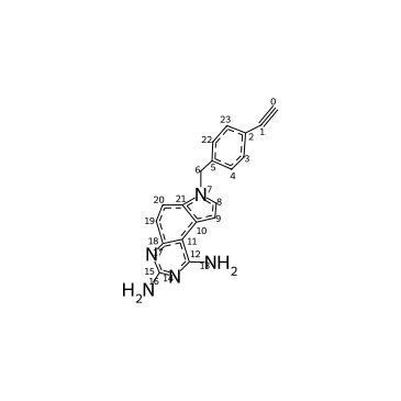 C#Cc1ccc(Cn2ccc3c4c(N)nc(N)nc4ccc32)cc1